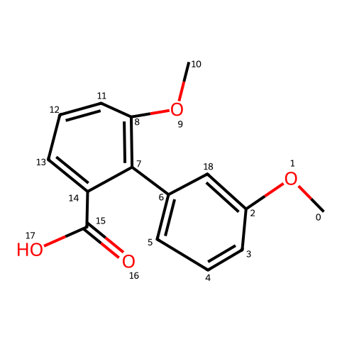 COc1cccc(-c2c(OC)cccc2C(=O)O)c1